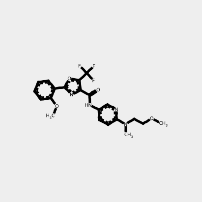 COCCN(C)c1ccc(NC(=O)c2nc(-c3ccccc3OC)oc2C(F)(F)F)cn1